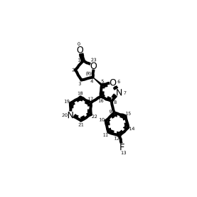 O=C1CC[C@H](c2onc(-c3ccc(F)cc3)c2-c2ccncc2)O1